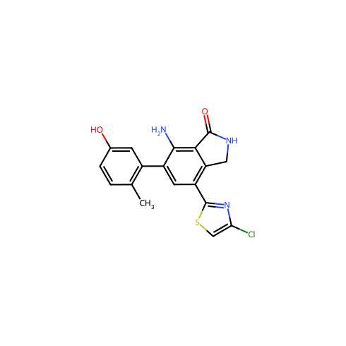 Cc1ccc(O)cc1-c1cc(-c2nc(Cl)cs2)c2c(c1N)C(=O)NC2